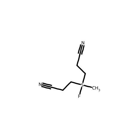 CS(F)(CCC#N)CCC#N